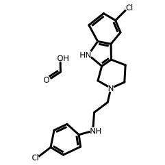 Clc1ccc(NCCN2CCc3c([nH]c4ccc(Cl)cc34)C2)cc1.O=CO